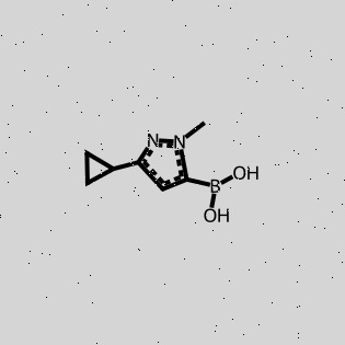 Cn1nc(C2CC2)cc1B(O)O